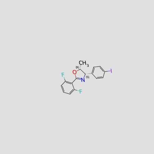 C[C@H]1OC(c2c(F)cccc2F)=N[C@H]1c1ccc(I)cc1